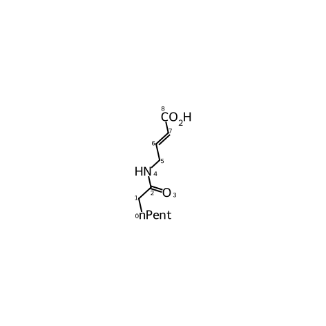 CCCCCCC(=O)NCC=CC(=O)O